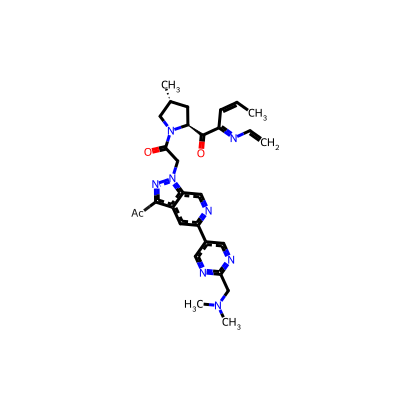 C=C/N=C(\C=C/C)C(=O)[C@@H]1C[C@@H](C)CN1C(=O)Cn1nc(C(C)=O)c2cc(-c3cnc(CN(C)C)nc3)ncc21